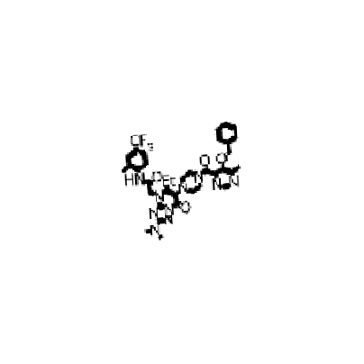 CCc1c(N2CCN(C(=O)c3ncnc(C)c3OCc3ccccc3)CC2)c(=O)n2nc(N(C)C)nc2n1CC(=O)Nc1ccc(C(F)(F)F)cc1C